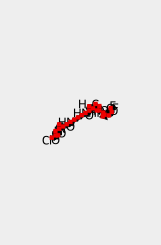 Cc1ccc(NC(=O)C2(c3ccc4c(c3)OC(F)(F)O4)CC2)nc1-c1cccc(C(=O)NCCCCCCCNC(=O)CCc2cccc(N3CCN(C(=O)CCl)CC3=O)n2)c1